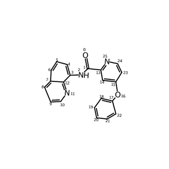 O=C(Nc1cccc2cccnc12)c1cc(Oc2ccccc2)ccn1